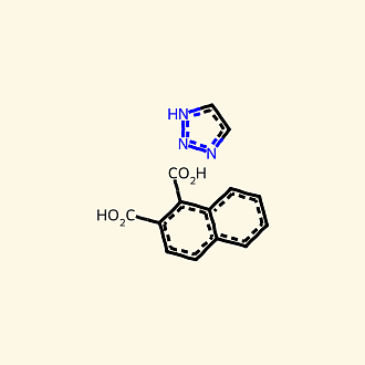 O=C(O)c1ccc2ccccc2c1C(=O)O.c1c[nH]nn1